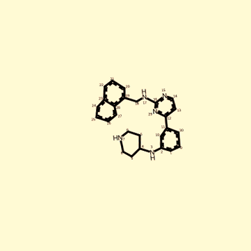 c1cc(NC2CCNCC2)cc(-c2ccnc(NCc3cccc4ccccc34)n2)c1